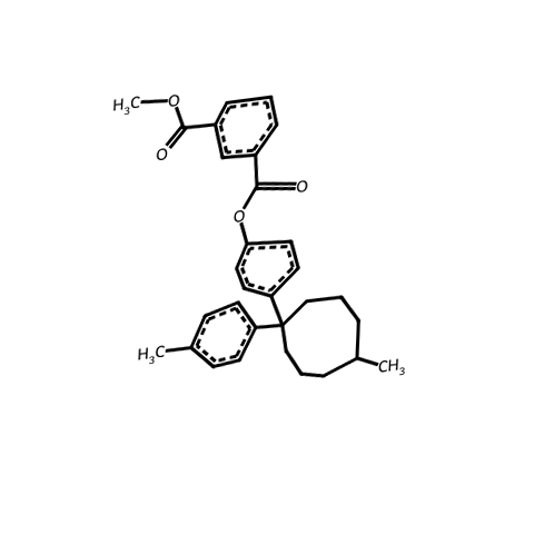 COC(=O)c1cccc(C(=O)Oc2ccc(C3(c4ccc(C)cc4)CCCC(C)CCC3)cc2)c1